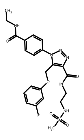 CCNC(=O)c1ccc(-n2nnc(C(=O)NCCNS(C)(=O)=O)c2COc2cccc(F)c2)cc1